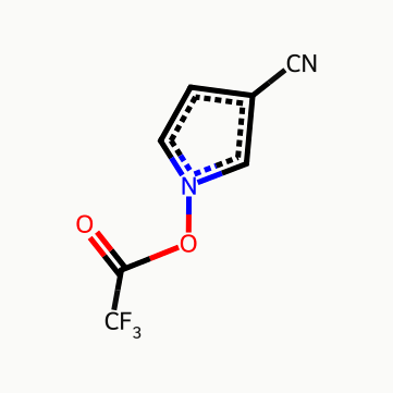 N#Cc1ccn(OC(=O)C(F)(F)F)c1